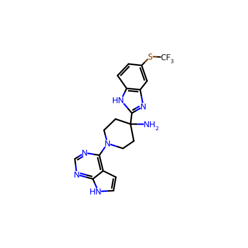 NC1(c2nc3cc(SC(F)(F)F)ccc3[nH]2)CCN(c2ncnc3[nH]ccc23)CC1